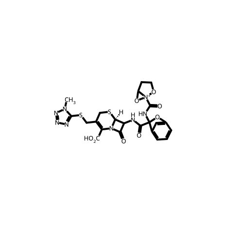 Cn1nnnc1SCC1=C(C(=O)O)N2C(=O)C(NC(=O)C3(NC(=O)[N+]45OCCC4O5)Oc4cccc3c4)[C@@H]2SC1